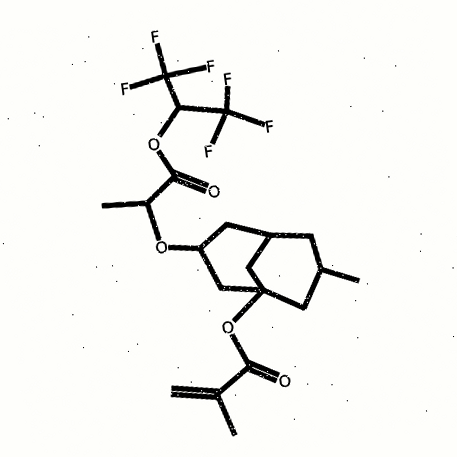 C=C(C)C(=O)OC12CC(C)CC(CC(OC(C)C(=O)OC(C(F)(F)F)C(F)(F)F)C1)C2